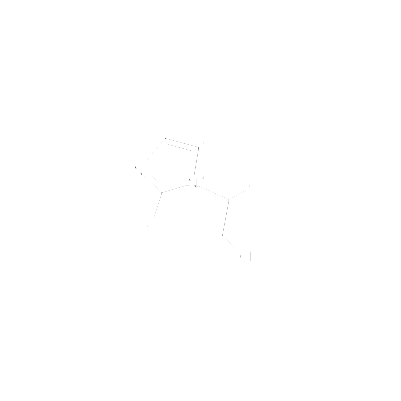 CCC(C)n1ccnc1C